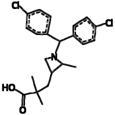 CC1C(CC(C)(C)C(=O)O)CN1C(c1ccc(Cl)cc1)c1ccc(Cl)cc1